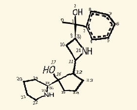 CC(O)(c1ccccc1)[C@@H]1CC(C2CCCC2(O)[C@@H]2CCCCN2)N1